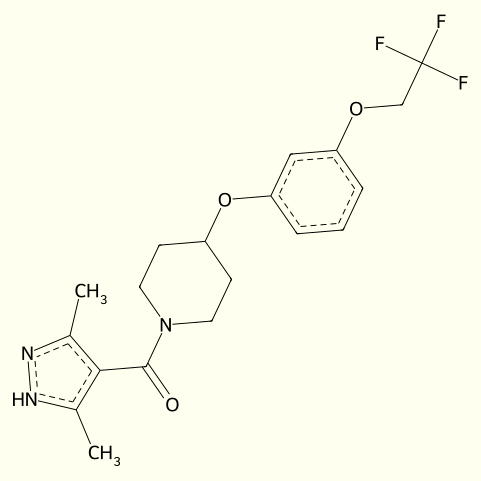 Cc1n[nH]c(C)c1C(=O)N1CCC(Oc2cccc(OCC(F)(F)F)c2)CC1